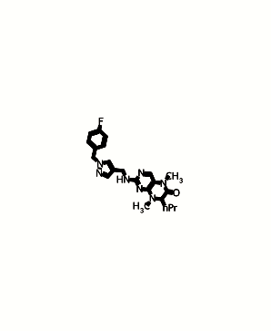 CCCC1C(=O)N(C)c2cnc(NCc3cnn(Cc4ccc(F)cc4)c3)nc2N1C